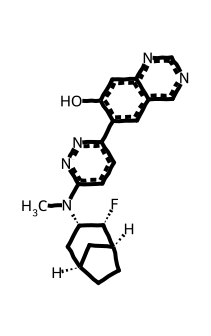 CN(c1ccc(-c2cc3cncnc3cc2O)nn1)[C@H]1C[C@@H]2CC[C@@H](C2)[C@H]1F